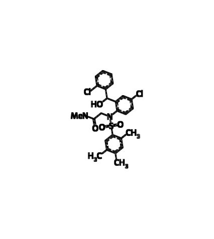 CNC(=O)CN(c1ccc(Cl)cc1C(O)c1ccccc1Cl)S(=O)(=O)c1cc(C)c(C)cc1C